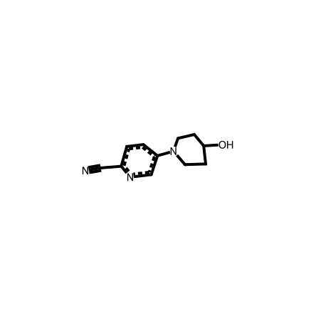 N#Cc1ccc(N2CCC(O)CC2)cn1